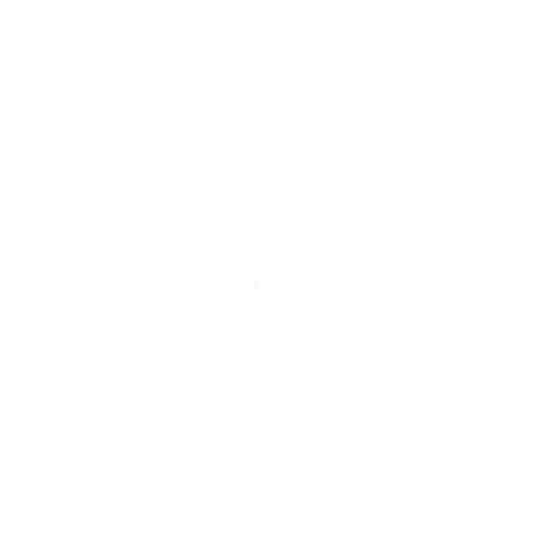 O.[BiH3].[CaH2].[Fe]